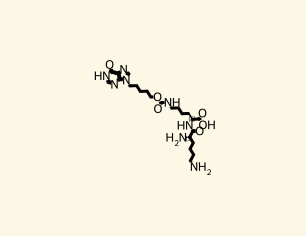 NCCCC[C@H](N)C(=O)N[C@@H](CCCCNC(=O)OCCCCCn1cnc2c(=O)[nH]cnc21)C(=O)O